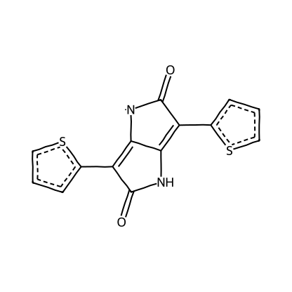 O=C1[N]C2=C(c3cccs3)C(=O)NC2=C1c1cccs1